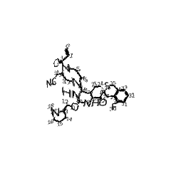 C=CC(=O)N1CCN(C2NC(OCC3CCCN3C)NC3C(=O)[C@]4(CCC32)Cc2c(F)cccc2CS4)CC1CC#N